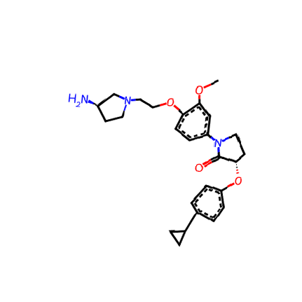 COc1cc(N2CC[C@H](Oc3ccc(C4CC4)cc3)C2=O)ccc1OCCN1CC[C@@H](N)C1